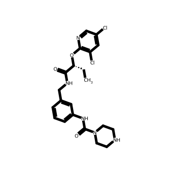 CC[C@@H](Oc1ncc(Cl)cc1Cl)C(=O)NCc1cccc(NC(=O)N2CCNCC2)c1